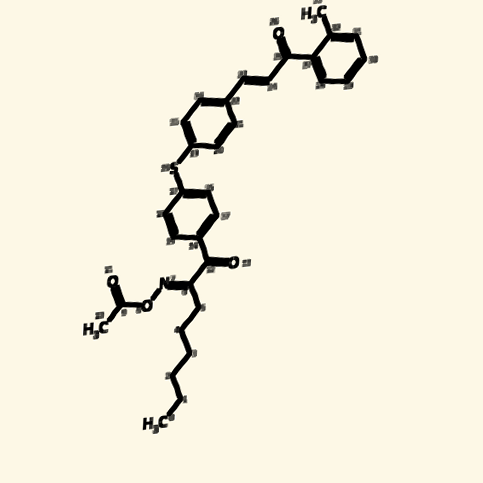 CCCCCCC(=NOC(C)=O)C(=O)c1ccc(Sc2ccc(C=CC(=O)c3ccccc3C)cc2)cc1